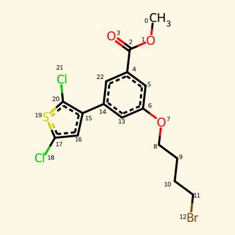 COC(=O)c1cc(OCCCCBr)cc(-c2cc(Cl)sc2Cl)c1